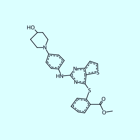 COC(=O)c1ccccc1Sc1nc(Nc2ccc(N3CCC(O)CC3)cc2)nc2ccsc12